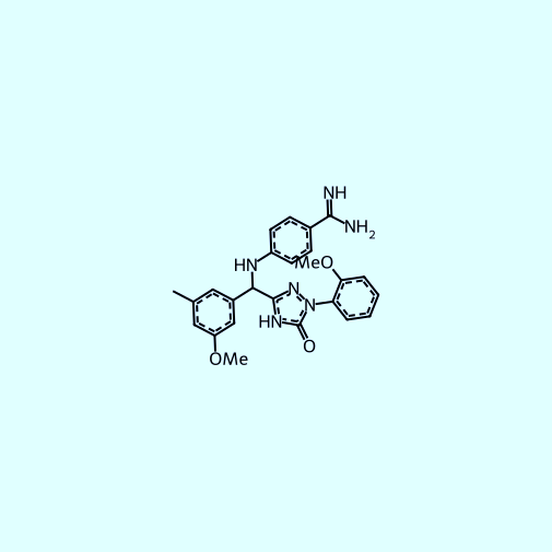 COc1cc(C)cc(C(Nc2ccc(C(=N)N)cc2)c2nn(-c3ccccc3OC)c(=O)[nH]2)c1